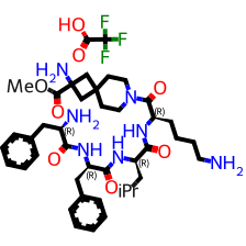 COC(=O)C1(N)CC2(CCN(C(=O)[C@@H](CCCCN)NC(=O)[C@@H](CC(C)C)NC(=O)[C@@H](Cc3ccccc3)NC(=O)[C@H](N)Cc3ccccc3)CC2)C1.O=C(O)C(F)(F)F